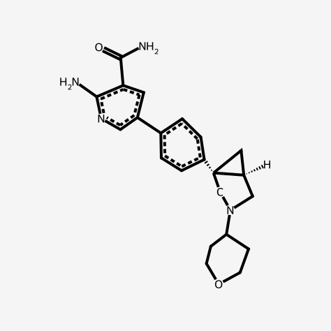 NC(=O)c1cc(-c2ccc([C@]34C[C@H]3CN(C3CCOCC3)C4)cc2)cnc1N